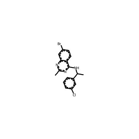 Cc1nc(NC(C)c2cccc(Cl)c2)c2ccc(Br)cc2n1